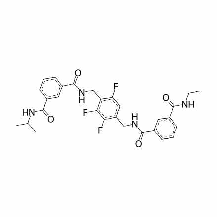 CCNC(=O)c1cccc(C(=O)NCc2cc(F)c(CNC(=O)c3cccc(C(=O)NC(C)C)c3)c(F)c2F)c1